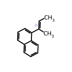 C/C=C(\C)c1cccc2ccccc12